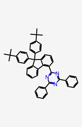 CC(C)(C)c1ccc(C2(c3ccc(C(C)(C)C)cc3)c3ccccc3-c3c(-c4nc(-c5ccccc5)nc(-c5ccccc5)n4)cccc32)cc1